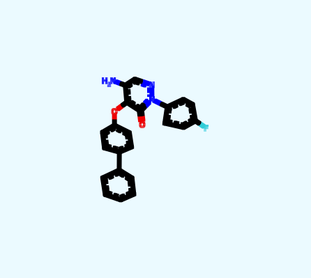 Nc1cnn(-c2ccc(F)cc2)c(=O)c1Oc1ccc(-c2ccccc2)cc1